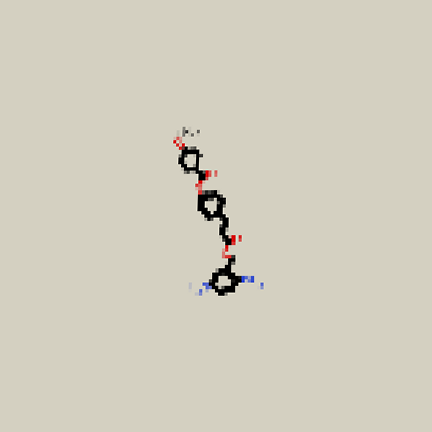 CCCCCCOC1CCC(C(=O)Oc2ccc(/C=C/C(=O)OCc3cc(N)ccc3N)cc2)CC1